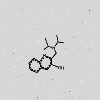 CC(C)N(Cc1nc2ccccc2cc1O)C(C)C